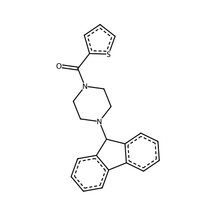 O=C(c1cccs1)N1CCN(C2c3ccccc3-c3ccccc32)CC1